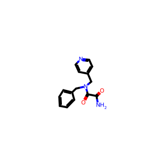 NC(=O)C(=O)N(Cc1ccccc1)Cc1ccncc1